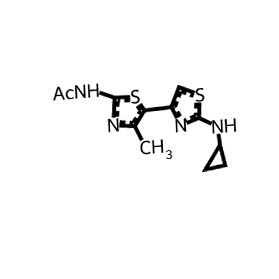 CC(=O)Nc1nc(C)c(-c2csc(NC3CC3)n2)s1